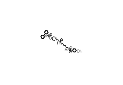 O=C(CCN1CCC(OC(=O)Nc2ccccc2-c2ccccc2)CC1)NCCCCCNS(=O)(=O)c1ccc(O)cc1